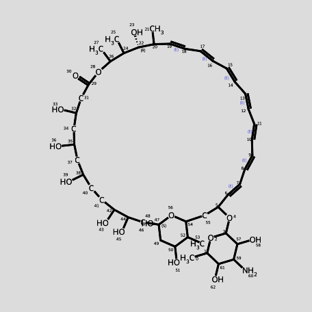 CC1OC(OC2/C=C/C=C/C=C/C=C/C=C/C=C/C=C/C(C)[C@@H](O)C(C)C(C)OC(=O)CC(O)CC(O)CC(O)CCC(O)C(O)C[C@]3(O)CC(O)C(C)C(C2)O3)C(O)C(N)C1O